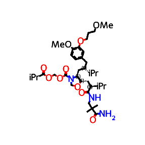 COCCCOc1cc(C[C@@H](C[C@H]2[C@H](C[C@H](C(=O)NCC(C)(C)C(N)=O)C(C)C)OCN2C(=O)OCOC(=O)C(C)C)C(C)C)ccc1OC